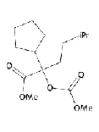 COC(=O)OC(CCC(C)C)(C(=O)OC)C1CCCC1